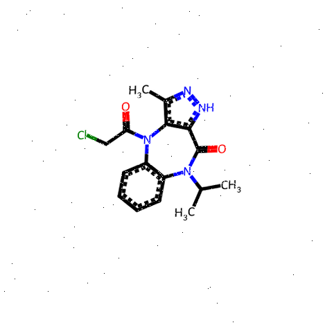 Cc1n[nH]c2c1N(C(=O)CCl)c1ccccc1N(C(C)C)C2=O